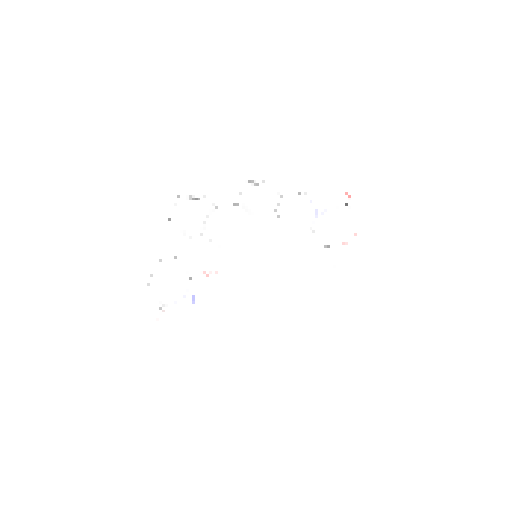 CC1(C)CN(Cc2ccc(-c3cccc([C@H]4CCC(=O)NC4=O)c3Cl)cc2)C(=O)CO1